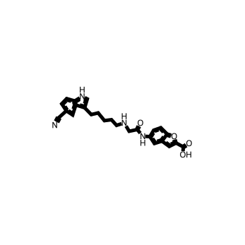 N#Cc1ccc2[nH]cc(CCCCCNCC(=O)Nc3ccc4oc(C(=O)O)cc4c3)c2c1